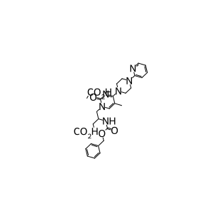 CC(=O)O.Cc1cn(CC(CC(=O)O)NC(=O)OCc2ccccc2)c(=O)nc1N1CCN(c2ccccn2)CC1